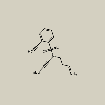 C#Cc1ccccc1S(=O)(=O)N(C#CCCCC)CCC=C